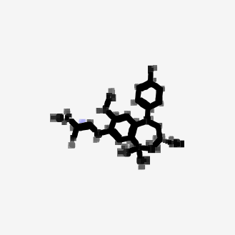 CCCC[C@H]1CN(c2ccc(F)cc2)c2cc(SCC)c(O/C=C(\F)C(=O)O)cc2S(O)(O)N1